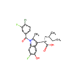 CCC(C)C[C@H](C(=O)O)c1c(C)n(C(=O)c2ccc(Cl)c(F)c2)c2cc(F)c(O)cc12